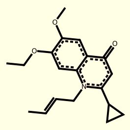 C/C=C/Cn1c(C2CC2)cc(=O)c2cc(OC)c(OCC)cc21